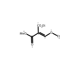 CCO/C=C(/C(=O)OC)C(=O)OCC